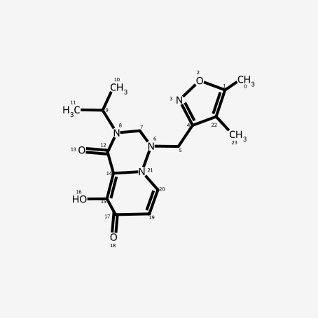 Cc1onc(CN2CN(C(C)C)C(=O)c3c(O)c(=O)ccn32)c1C